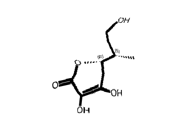 C[C@@H](CO)[C@H]1OC(=O)C(O)=C1O